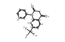 O=C1CC(=O)N(c2cccnc2)c2nc(C(F)(F)F)ccc21